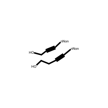 CCCCCCCCCC#CCCO.CCCCCCCCCC#CCO